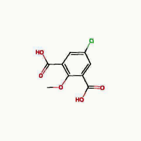 COc1c(C(=O)O)cc(Cl)cc1C(=O)O